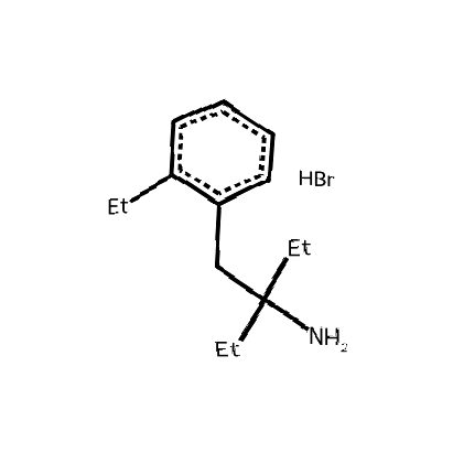 Br.CCc1ccccc1CC(N)(CC)CC